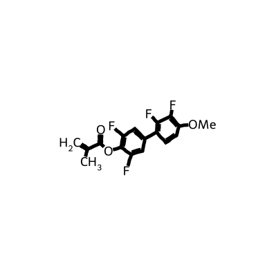 C=C(C)C(=O)Oc1c(F)cc(-c2ccc(OC)c(F)c2F)cc1F